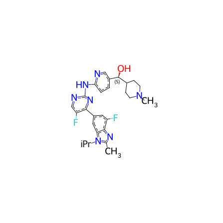 Cc1nc2c(F)cc(-c3nc(Nc4ccc([C@@H](O)C5CCN(C)CC5)cn4)ncc3F)cc2n1C(C)C